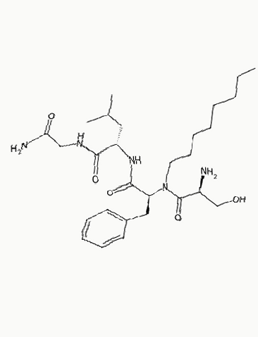 CCCCCCCCN(C(=O)[C@@H](N)CO)[C@@H](Cc1ccccc1)C(=O)N[C@@H](CC(C)C)C(=O)NCC(N)=O